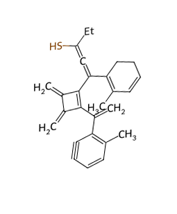 C=C1C(=C)C(C(=C=C(S)CC)C2=C(C)C=CCC2)=C1C(=C)c1c#cccc1C